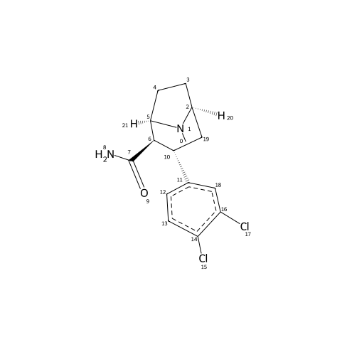 CN1[C@H]2CC[C@@H]1[C@H](C(N)=O)[C@@H](c1ccc(Cl)c(Cl)c1)C2